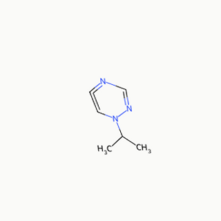 CC(C)N1C=C=NC=N1